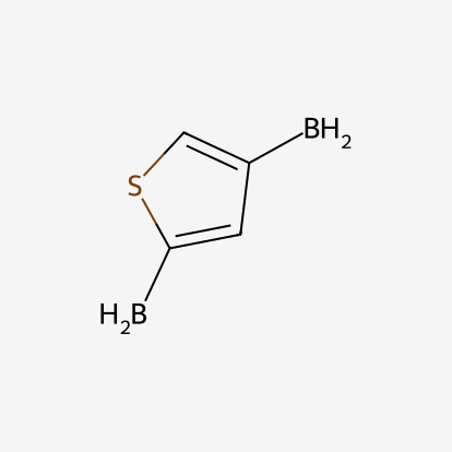 Bc1csc(B)c1